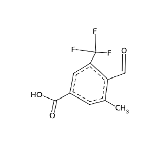 Cc1cc(C(=O)O)cc(C(F)(F)F)c1C=O